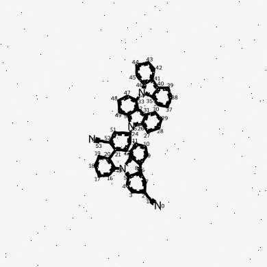 N#Cc1ccc2c(c1)c1ccccc1n2-c1ccccc1-c1ccc(-n2c3ccccc3c3c(-n4c5ccccc5c5ccccc54)cccc32)cc1C#N